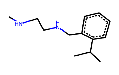 CNCCNCc1ccccc1C(C)C